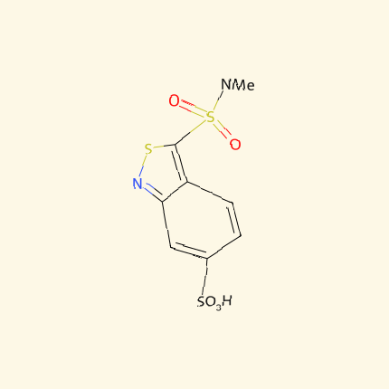 CNS(=O)(=O)c1snc2cc(S(=O)(=O)O)ccc12